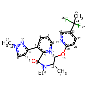 CCN(C(=O)c1ncccc1-c1ccn(C)n1)[C@@H](C)COc1ccc(C(C)(F)F)cn1